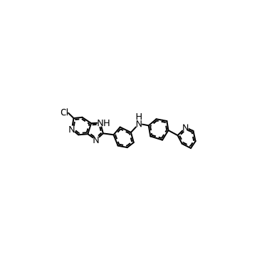 Clc1cc2[nH]c(-c3cccc(Nc4ccc(-c5ccccn5)cc4)c3)nc2cn1